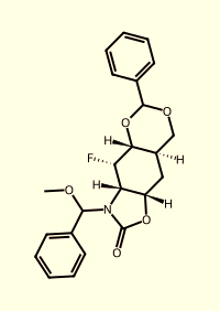 COC(c1ccccc1)N1C(=O)O[C@H]2C[C@@H]3COC(c4ccccc4)O[C@H]3[C@@H](F)[C@H]21